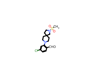 CS(=O)(=O)N1CCC2(CCN(c3cc(Cl)ccc3C=O)CC2)C1